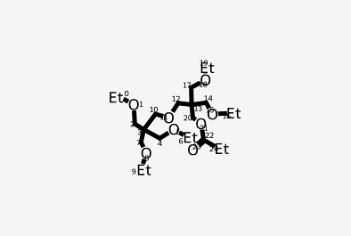 CCOCC(COCC)(COCC)COCC(COCC)(COCC)COC(=O)CC